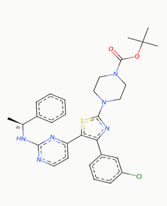 C[C@H](Nc1nccc(-c2sc(N3CCN(C(=O)OC(C)(C)C)CC3)nc2-c2cccc(Cl)c2)n1)c1ccccc1